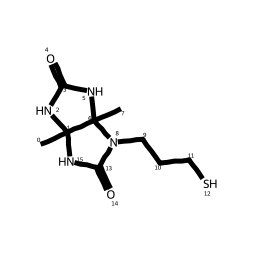 CC12NC(=O)NC1(C)N(CCCS)C(=O)N2